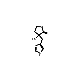 O=C1OCCC1(O)Cc1c[nH]cn1